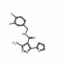 Nc1onc(-c2ccco2)c1C(=O)NCc1ccc(F)c(F)c1